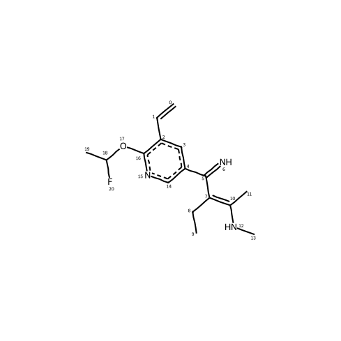 C=Cc1cc(C(=N)/C(CC)=C(\C)NC)cnc1OC(C)F